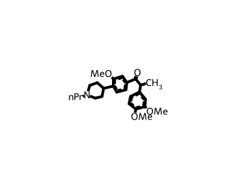 CCCN1CCC(c2ccc(C(=O)C(C)c3ccc(OC)c(OC)c3)cc2OC)CC1